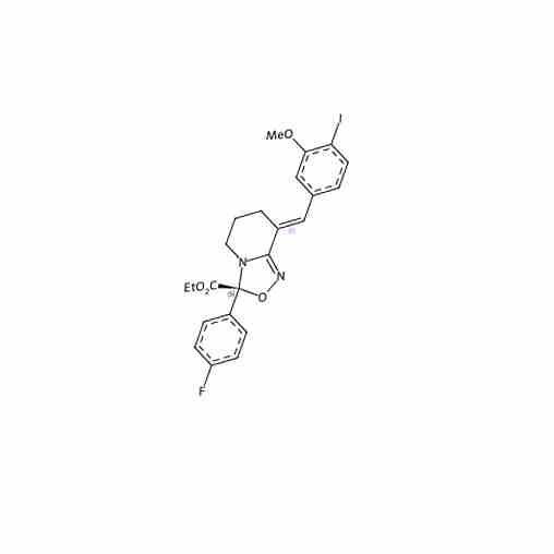 CCOC(=O)[C@]1(c2ccc(F)cc2)ON=C2/C(=C/c3ccc(I)c(OC)c3)CCCN21